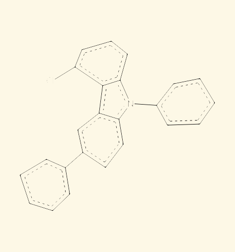 Clc1cccc2c1c1cc(-c3ccccc3)ccc1n2-c1ccccc1